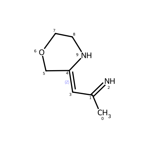 CC(=N)/C=C1/COCCN1